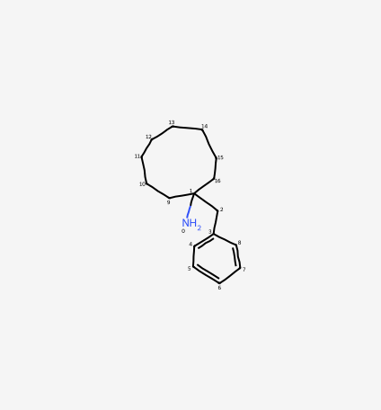 NC1(Cc2ccccc2)CCCCCCCC1